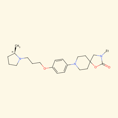 CCN1CC2(CCN(c3ccc(OCCCN4CCC[C@H]4C)cc3)CC2)OC1=O